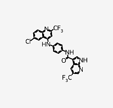 O=C(Nc1ccc(Nc2cc(C(F)(F)F)nc3ccc(Cl)cc23)cc1)c1c[nH]c2ncc(C(F)(F)F)cc12